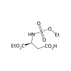 CCOC(=O)[C@H](CC(=O)O)NS(=O)(=O)OCC